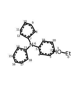 CCO.c1ccc(N(c2ccccc2)c2ccccc2)cc1